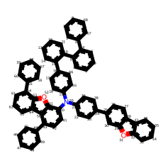 c1ccc(-c2ccccc2-c2ccccc2-c2ccc(N(c3ccc(-c4ccc5c(c4)oc4ccccc45)cc3)c3ccc(-c4ccccc4)c4c3oc3c(-c5ccccc5)cccc34)cc2)cc1